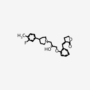 Cc1ccc(C2CCN(C[C@H](O)COc3ccccc3C=C3CCOC3=O)CC2)cc1F